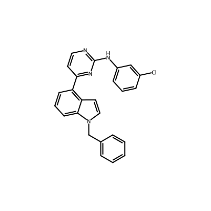 Clc1cccc(Nc2nccc(-c3cccc4c3ccn4Cc3ccccc3)n2)c1